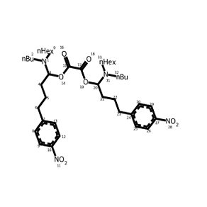 CCCCCCN(CCCC)C(CCCc1ccc([N+](=O)[O-])cc1)OC(=O)C(=O)OC(CCCc1ccc([N+](=O)[O-])cc1)N(CCCC)CCCCCC